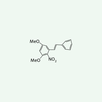 COc1cc(/C=C/c2ccccc2)c([N+](=O)[O-])c(OC)c1